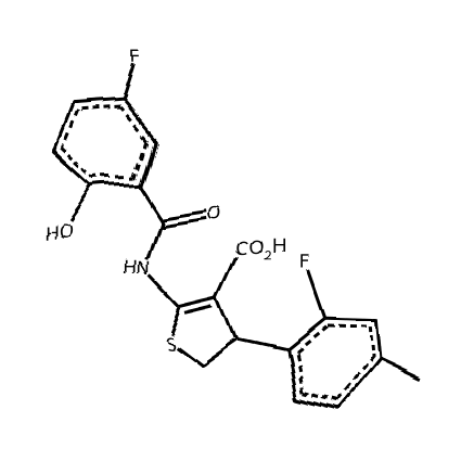 Cc1ccc(C2CSC(NC(=O)c3cc(F)ccc3O)=C2C(=O)O)c(F)c1